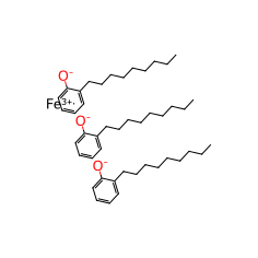 CCCCCCCCCc1ccccc1[O-].CCCCCCCCCc1ccccc1[O-].CCCCCCCCCc1ccccc1[O-].[Fe+3]